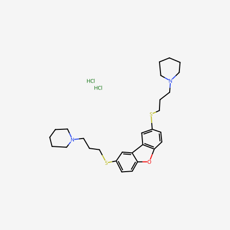 Cl.Cl.c1cc2oc3ccc(SCCCN4CCCCC4)cc3c2cc1SCCCN1CCCCC1